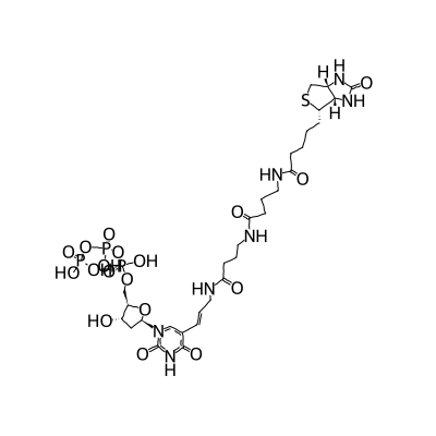 O=C(CCCNC(=O)CCCNC(=O)CCCC[C@@H]1SC[C@@H]2NC(=O)N[C@@H]21)NC/C=C/c1cn([C@H]2C[C@H](O)[C@@H](COP(=O)(O)OP(=O)(O)OP(=O)(O)O)O2)c(=O)[nH]c1=O